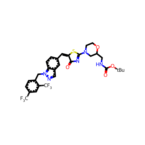 CC(C)(C)OC(=O)NCC1CN(C2=NC(=O)C(=Cc3ccc4c(cnn4Cc4ccc(C(F)(F)F)cc4C(F)(F)F)c3)S2)CCO1